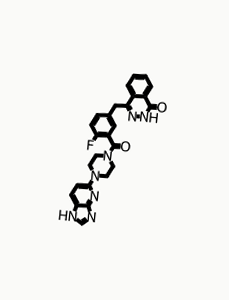 O=C(c1cc(Cc2n[nH]c(=O)c3ccccc23)ccc1F)N1CCN(c2ccc3[nH]cnc3n2)CC1